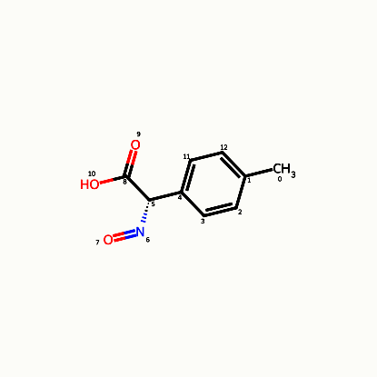 Cc1ccc([C@H](N=O)C(=O)O)cc1